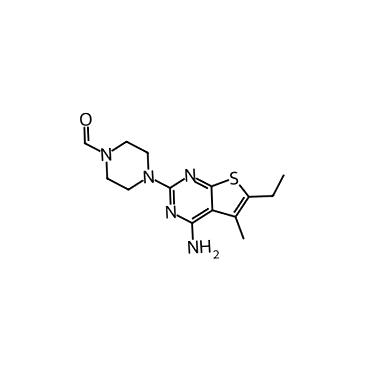 CCc1sc2nc(N3CCN(C=O)CC3)nc(N)c2c1C